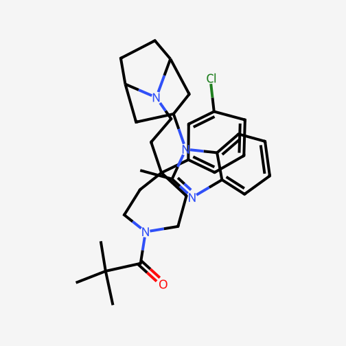 Cc1nc2ccccc2n1C1CC2CCC(C1)N2CCC1(c2cccc(Cl)c2)CCN(C(=O)C(C)(C)C)CC1